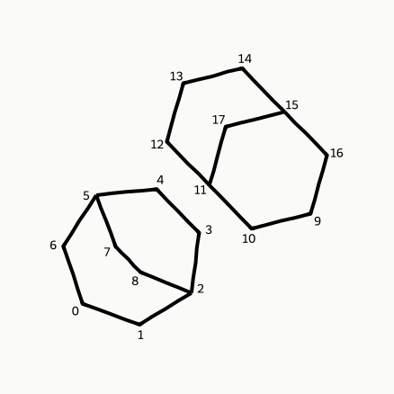 C1CC2CCC(C1)CC2.C1CC2CCCC(C1)C2